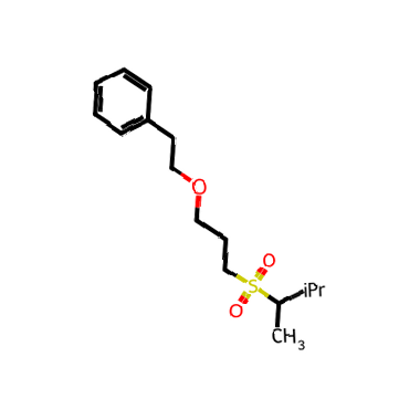 CC(C)C(C)S(=O)(=O)CCCOCCc1ccccc1